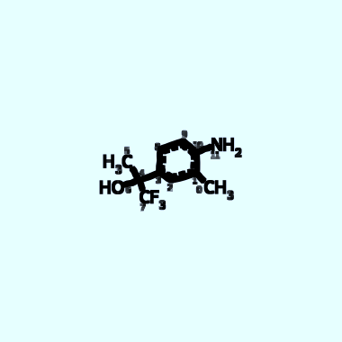 Cc1cc(C(C)(O)C(F)(F)F)ccc1N